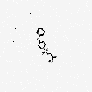 CC(O)CCS(=O)(=O)c1ccc(Oc2ccccc2)cc1